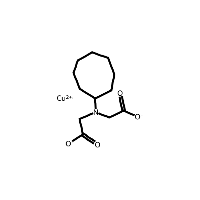 O=C([O-])CN(CC(=O)[O-])C1CCCCCCC1.[Cu+2]